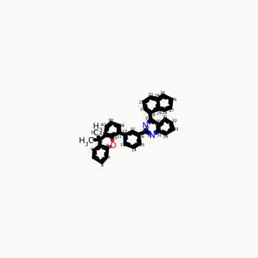 CC1(C)c2ccccc2Oc2c(-c3cccc(-c4nc(-c5cccc6ccccc56)c5ccccc5n4)c3)cccc21